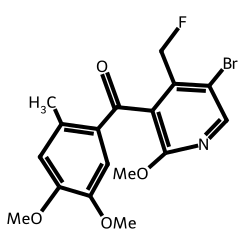 COc1cc(C)c(C(=O)c2c(OC)ncc(Br)c2CF)cc1OC